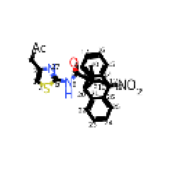 CC(=O)Cc1csc(NC(=O)C2(C)CC3([N+](=O)[O-])c4ccccc4C2c2ccccc23)n1